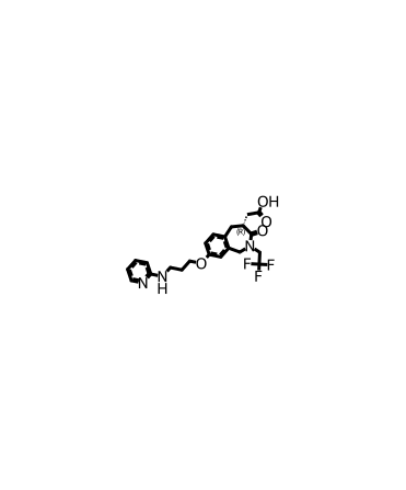 O=C(O)C[C@H]1Cc2ccc(OCCCNc3ccccn3)cc2CN(CC(F)(F)F)C1=O